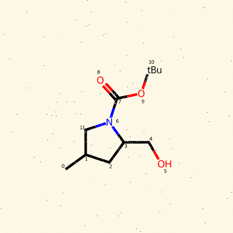 CC1CC(CO)N(C(=O)OC(C)(C)C)C1